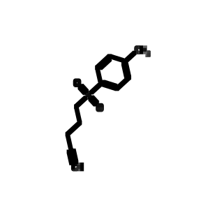 C#CCCCS(=O)(=O)c1ccc(C)cc1